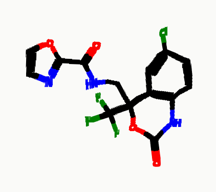 O=C1Nc2ccc(Cl)cc2C(CNC(=O)c2ncco2)(C(F)(F)F)O1